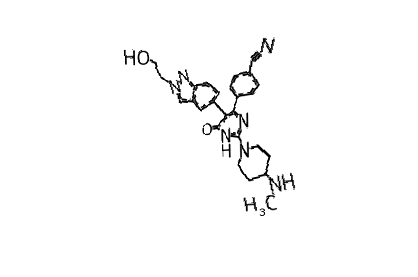 CNC1CCN(c2nc(-c3ccc(C#N)cc3)c(-c3ccc4nn(CCO)cc4c3)c(=O)[nH]2)CC1